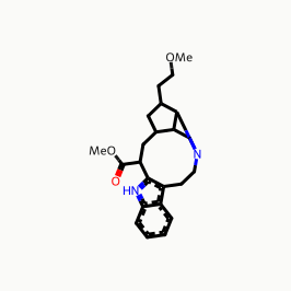 COCCC1CC2CC(C(=O)OC)c3[nH]c4ccccc4c3CCN3CC2C13